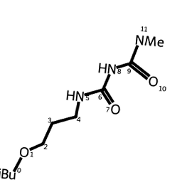 CCC(C)OCCCNC(=O)NC(=O)NC